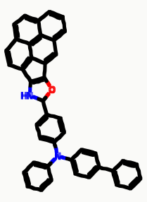 c1ccc(-c2ccc(N(c3ccccc3)c3ccc(C4NC5=C(O4)c4cc6cccc7ccc8ccc5c4c8c76)cc3)cc2)cc1